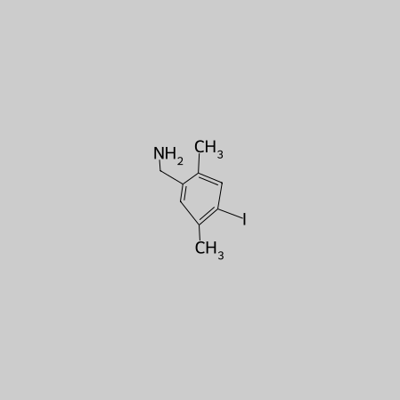 Cc1cc(CN)c(C)cc1I